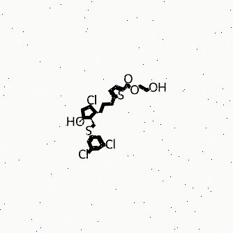 O=C(OCCO)c1ccc(CCC[C@@H]2[C@@H](CSc3cc(Cl)cc(Cl)c3)[C@H](O)C[C@H]2Cl)s1